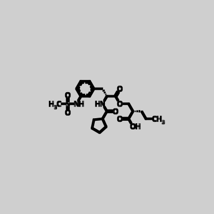 CCC[C@@H](COC(=O)[C@@H](Cc1cccc(NS(C)(=O)=O)c1)NC(=O)C1CCCC1)C(=O)O